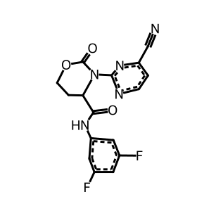 N#Cc1ccnc(N2C(=O)OCCC2C(=O)Nc2cc(F)cc(F)c2)n1